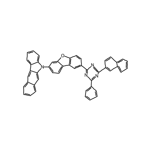 c1ccc(-c2nc(-c3ccc4ccccc4c3)nc(-c3ccc4oc5cc(-n6c7ccccc7c7cc8ccccc8cc76)ccc5c4c3)n2)cc1